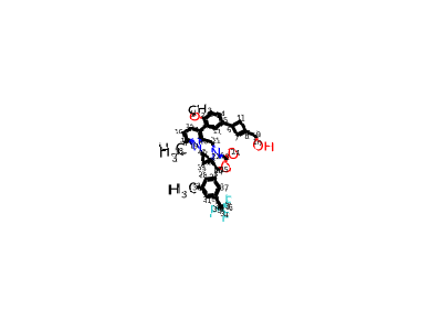 COc1ccc(C2CC(CO)C2)cc1-c1ccc(C)nc1CN1C(=O)O[C@H](c2cc(C)cc(C(F)(F)F)c2)C12CC2